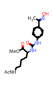 COC(=O)C(CCCCNC(C)=O)NC(=O)Nc1ccc(/C(C)=N/O)cc1